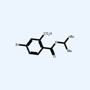 CCCCC(OC(=O)c1ccc(CC)cc1C(=O)O)C(C)(C)C